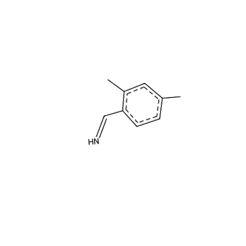 Cc1ccc(C=N)c(C)c1